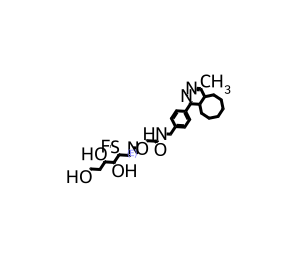 CC1=NN=C(c2ccc(CNC(=O)CO/N=C/C(SF)C(O)C(O)CCO)cc2)C2CCCCCCC12